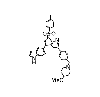 COC1CCN(Cc2ccc(-c3cnc4c(c3)c(-c3ccc5[nH]ccc5c3)cn4S(=O)(=O)c3ccc(C)cc3)cc2)CC1